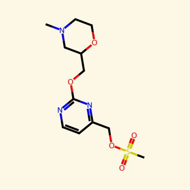 CN1CCOC(COc2nccc(COS(C)(=O)=O)n2)C1